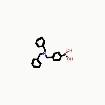 OB(O)c1ccc(CN(Cc2ccccc2)Cc2ccccc2)cc1